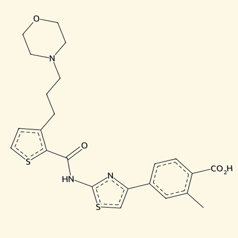 Cc1cc(-c2csc(NC(=O)c3sccc3CCCN3CCOCC3)n2)ccc1C(=O)O